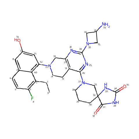 CCc1c(F)ccc2cc(O)cc(N3CCc4c(nc(N5CC(N)C5)nc4N4CCCC5(C4)NC(=O)NC5=O)C3)c12